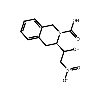 O=C(O)N1Cc2ccccc2C[C@@H]1C(O)C[N+](=O)[O-]